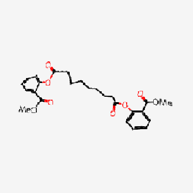 COC(=O)c1ccccc1OC(=O)CCCCCCCC(=O)Oc1ccccc1C(=O)OC